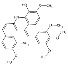 COc1ccc(/C=C\C(=O)Nc2c(/C=C\c3cc(OC)c(OC)c(OC)c3)ccc(OC)c2O)cc1N